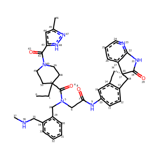 CCC1(C(=O)N(CC(=O)Nc2ccc3c(c2)C[C@@]2(C3)C(=O)Nc3ncccc32)Cc2ccccc2CNC)CCN(C(=O)c2cc(C)n[nH]2)CC1